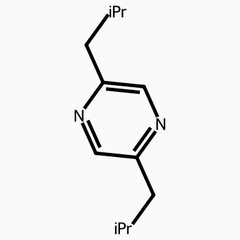 CC(C)Cc1cnc(CC(C)C)cn1